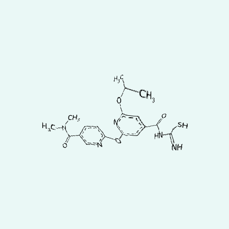 CC(C)Oc1cc(C(=O)NC(=N)S)cc(Oc2ccc(C(=O)N(C)C)cn2)n1